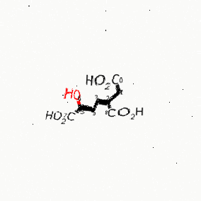 O=C(O)CC(=CC=C(O)C(=O)O)C(=O)O